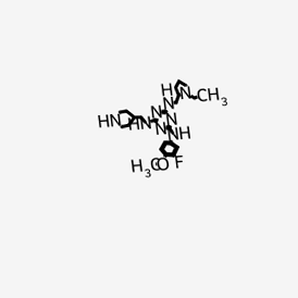 CCN1CCCC1CNc1nc(NCC2CCNCC2)nc(Nc2ccc(OC)c(F)c2)n1